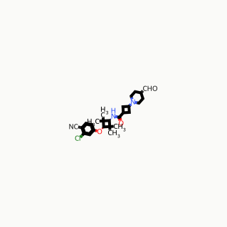 CC1(C)[C@H](NC(=O)C2CC(N3CCC(C=O)CC3)C2)C(C)(C)[C@H]1Oc1ccc(C#N)c(Cl)c1